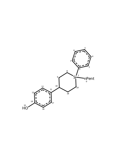 CCCCC[Si]1(c2ccccc2)CCC(c2ccc(O)cc2)CC1